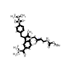 Cc1c(Cc2ccc(S(=O)(=O)N(C)C)cc2)c2cc(C(=O)N(C)C)ccc2n1C/C(F)=C/CNC(=O)OC(C)(C)C